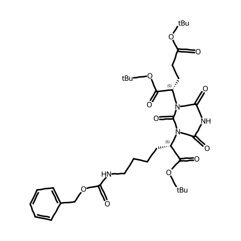 CC(C)(C)OC(=O)CC[C@@H](C(=O)OC(C)(C)C)n1c(=O)[nH]c(=O)n([C@@H](CCCCNC(=O)OCc2ccccc2)C(=O)OC(C)(C)C)c1=O